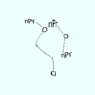 CCCOCCC.CCCOCCCl